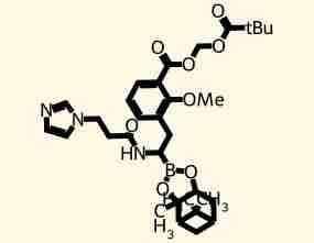 COc1c(CC(NC(=O)CCn2ccnc2)B2OC3CC4CC(C4(C)C)C3(C)O2)cccc1C(=O)OCOC(=O)C(C)(C)C